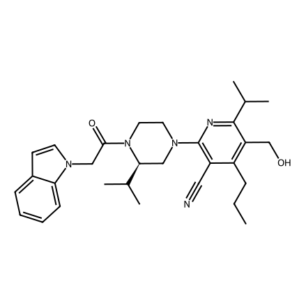 CCCc1c(C#N)c(N2CCN(C(=O)Cn3ccc4ccccc43)[C@H](C(C)C)C2)nc(C(C)C)c1CO